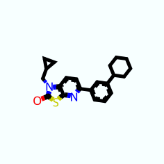 O=c1sc2nc(-c3cccc(C4CCCCC4)c3)ccc2n1CC1CC1